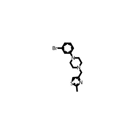 Cc1nc(CN2CCN(c3cccc(Br)c3)CC2)cs1